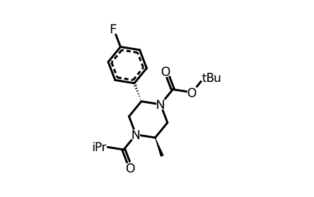 CC(C)C(=O)N1C[C@H](c2ccc(F)cc2)N(C(=O)OC(C)(C)C)C[C@H]1C